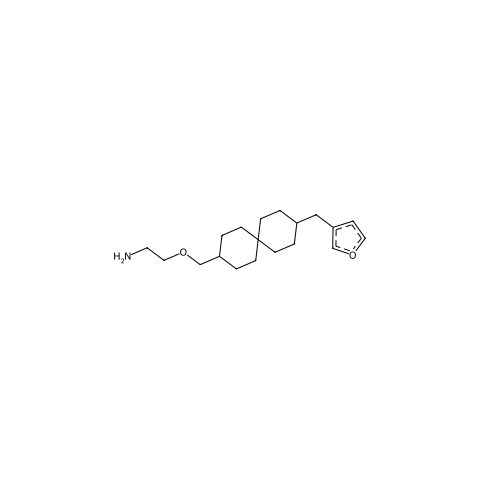 NCCOCC1CCC2(CC1)CCC(Cc1ccoc1)CC2